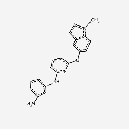 Cn1ccc2cc(Oc3ccnc(Nc4cccc(N)c4)n3)ccc21